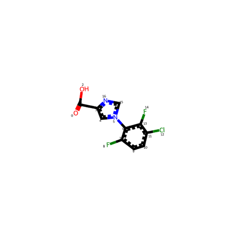 O=C(O)c1cn(-c2c(F)ccc(Cl)c2F)cn1